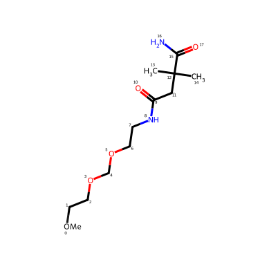 COCCOCOCCNC(=O)[CH]C(C)(C)C(N)=O